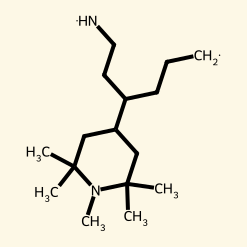 [CH2]CCC(CC[NH])C1CC(C)(C)N(C)C(C)(C)C1